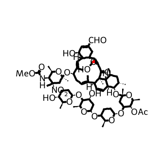 COC(=O)N[C@H]1[C@@H](C)O[C@@](C)(O[C@H]2C/C=C(\C)[C@@H]3C=C[C@@H]4[C@@H](O[C@@]5(C)CC(O[C@H]6CCC(O[C@H]7C[C@@H](O)C(O[C@H]8CC[C@@H](O)[C@H](C)O8)[C@H](C)O7)[C@H](C)O6)[C@@H](OC(C)=O)[C@H](C)O5)[C@@H](C)C[C@H](C)[C@H]4[C@]3(C)C(=O)C3=C(O)C4(CC(C=O)=C[C@H](O)[C@H]4/C=C/2C)OC3)C[C@]1(C)[N+](=O)[O-]